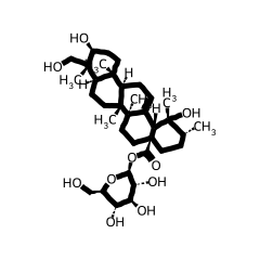 C[C@@H]1CC[C@]2(C(=O)O[C@@H]3O[C@H](CO)[C@@H](O)[C@H](O)[C@H]3O)CC[C@]3(C)C(=CC[C@@H]4[C@@]5(C)CC[C@H](O)[C@@](C)(CO)[C@@H]5CC[C@]43C)[C@@H]2[C@]1(C)O